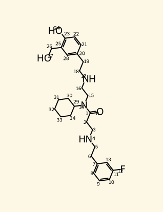 O=C(CCNCCc1cccc(F)c1)N(CCNCCc1ccc(O)c(CO)c1)C1CCCCC1